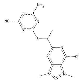 Cc1cn(C)c2c(Cl)nc(C(C)Sc3nc(N)cc(C#N)n3)cc12